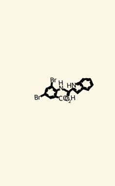 O=C(Nc1c(Br)cc(Br)cc1C(=O)O)c1cc2ccccc2[nH]1